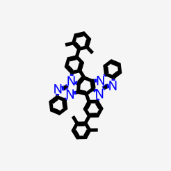 Cc1cccc(C)c1-c1ccc2c(c1)c1c3c4c(c5cc(-c6c(C)cccc6C)ccc5n4c4nc5ccccc5n34)c3c1n2c1nc2ccccc2n31